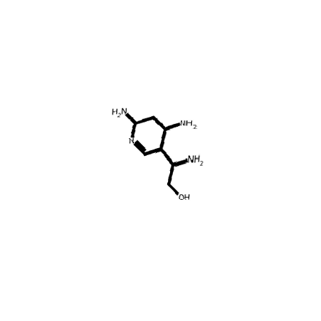 NC1CC(N)C(C(N)CO)C=N1